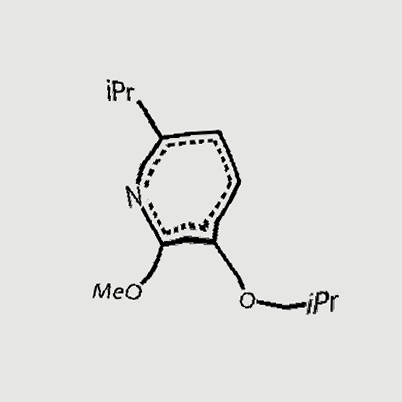 COc1nc(C(C)C)ccc1OC(C)C